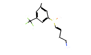 Cc1cc([S+]([O-])/C=C/CCN)cc(C(F)(F)F)c1